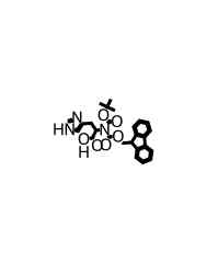 CC(C)(C)OC(=O)N(C(=O)OCC1c2ccccc2-c2ccccc21)C(Cc1c[nH]cn1)C(=O)O